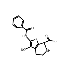 CCCCC(=O)C1NCCc2c1sc(NC(=O)c1ccccc1)c2C#N